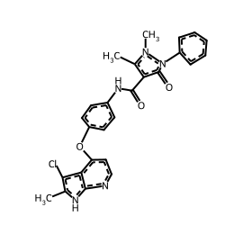 Cc1[nH]c2nccc(Oc3ccc(NC(=O)c4c(C)n(C)n(-c5ccccc5)c4=O)cc3)c2c1Cl